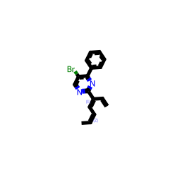 C=C/C(=C\C=C/C)c1ncc(Br)c(-c2ccccc2)n1